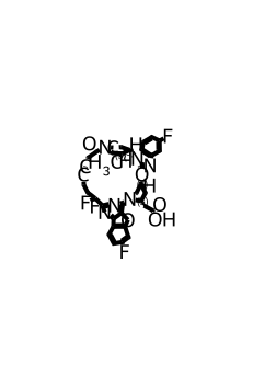 C[C@H]1CN2CC[C@@H]1n1c(nc3cc(F)ccc31)O[C@H]1C[C@@H](CC(=O)O)N(C1)c1nc(nc3c1oc1cc(F)ccc13)C(F)(F)CCCCCC2=O